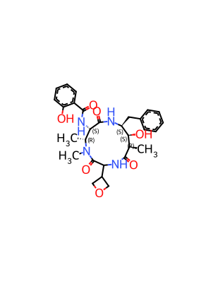 C[C@@H]1[C@H](NC(=O)c2ccccc2O)C(=O)N[C@@H](Cc2ccccc2)[C@@H](O)[C@@H](C)C(=O)NC(C2COC2)C(=O)N1C